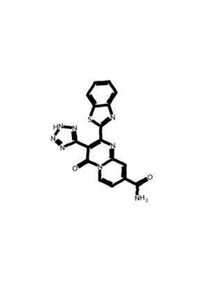 NC(=O)c1ccn2c(=O)c(-c3nn[nH]n3)c(-c3nc4ccccc4s3)nc2c1